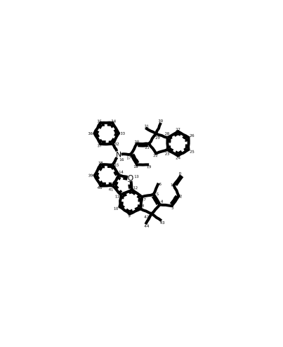 C=C/C=C\C1=C(C)c2c(ccc3c2oc2c(N(C(=C/C)/C=C4\Cc5ccccc5C4(C)C)c4ccccc4)cccc23)C1(C)C